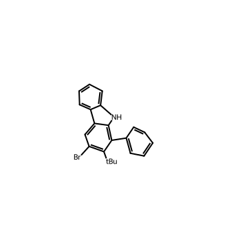 CC(C)(C)c1c(Br)cc2c([nH]c3ccccc32)c1-c1ccccc1